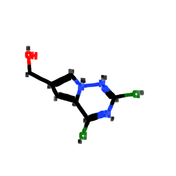 OCc1cc2c(Cl)nc(Cl)nn2c1